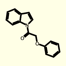 O=C(COc1ccccc1)n1ccc2ccccc21